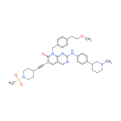 COCCc1ccc(Cn2c(=O)c(C#CC3CCN(S(C)(=O)=O)CC3)cc3cnc(Nc4ccc(C5CCCN(C)C5)cc4)nc32)cc1